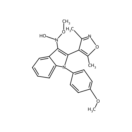 COc1ccc(-n2c(-c3c(C)noc3C)c(N(O)OC)c3ccccc32)cc1